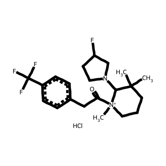 CC1(C)CCC[N+](C)(C(=O)Cc2ccc(C(F)(F)F)cc2)C1N1CCC(F)C1.Cl